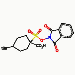 CC(C)(C)C1CCC(C(=O)O)(S(=O)(=O)ON2C(=O)c3ccccc3C2=O)CC1